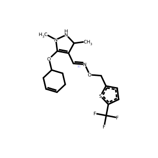 CC1NN(C)C(OC2CC=CCC2)=C1/C=N/OCc1ccc(C(F)(F)F)s1